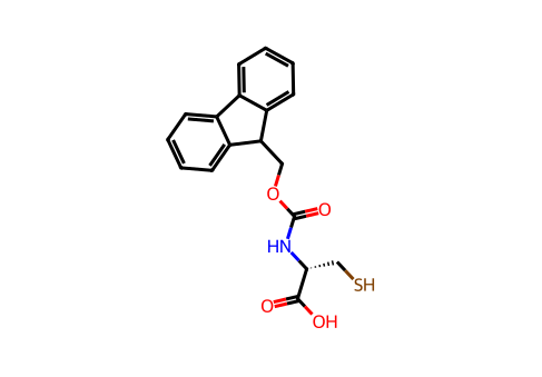 O=C(N[C@H](CS)C(=O)O)OCC1c2ccccc2-c2ccccc21